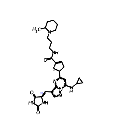 CC1CCCCN1CCCNC(=O)C1=CCC(c2cc(NC3CC3)n3ncc(/C=C4\NC(=O)NC4=O)c3n2)S1